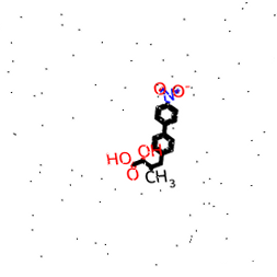 CC(Cc1ccc(-c2ccc([N+](=O)[O-])cc2)cc1)C(O)C(=O)O